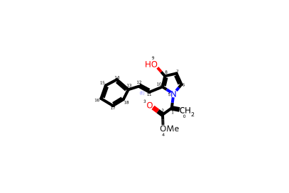 C=C(C(=O)OC)n1ccc(O)c1/C=C/c1ccccc1